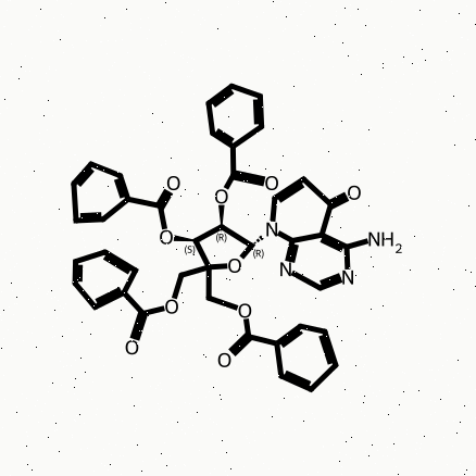 Nc1ncnc2c1c(=O)ccn2[C@@H]1OC(COC(=O)c2ccccc2)(COC(=O)c2ccccc2)[C@@H](OC(=O)c2ccccc2)[C@H]1OC(=O)c1ccccc1